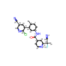 Cc1ccc(NC(=O)c2ccnc(C(C)(F)C#N)c2)cc1-c1cc(C#N)cnc1Cl